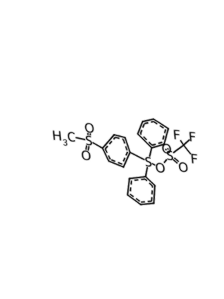 CS(=O)(=O)c1ccc(S(OS(=O)(=O)C(F)(F)F)(c2ccccc2)c2ccccc2)cc1